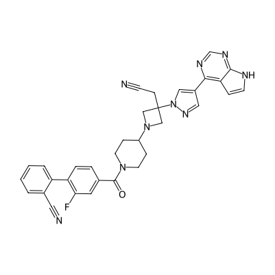 N#CCC1(n2cc(-c3ncnc4[nH]ccc34)cn2)CN(C2CCN(C(=O)c3ccc(-c4ccccc4C#N)c(F)c3)CC2)C1